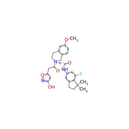 COc1ccc2c(c1)CCN(C(=O)Cc1cc(O)no1)[C@H]2C(=O)Nc1cc(F)c2c(c1)CCC2(C)C